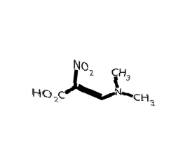 CN(C)/C=C(/C(=O)O)[N+](=O)[O-]